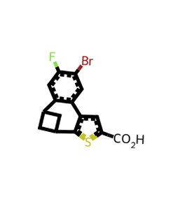 O=C(O)c1cc2c(s1)C1CC(C1)c1cc(F)c(Br)cc1-2